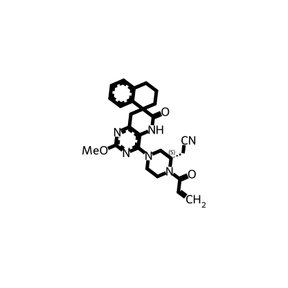 C=CC(=O)N1CCN(c2nc(OC)nc3c2NC(=O)C2(CCCc4ccccc42)C3)C[C@@H]1CC#N